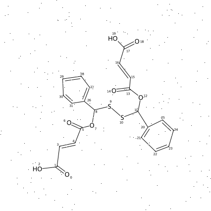 O=C(O)/C=C/C(=O)OC(SSC(OC(=O)/C=C/C(=O)O)c1ccccc1)c1ccccc1